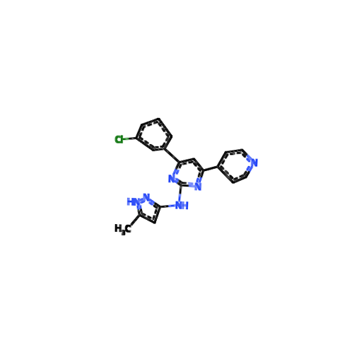 Cc1cc(Nc2nc(-c3ccncc3)cc(-c3cccc(Cl)c3)n2)n[nH]1